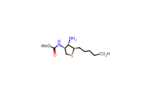 COC(=O)N[C@@H]1CS[C@H](CCCCC(=O)O)[C@@H]1N